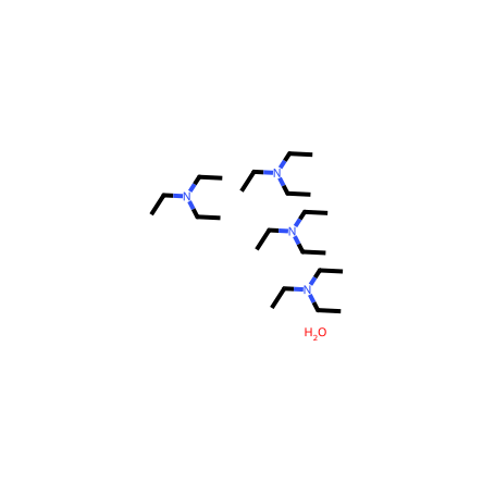 CCN(CC)CC.CCN(CC)CC.CCN(CC)CC.CCN(CC)CC.O